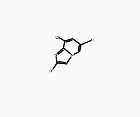 CCc1cn2cc(Cl)cc(Cl)c2n1